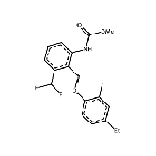 CCc1ccc(OCc2c(NC(=O)OC)cccc2C(F)F)c(C)c1